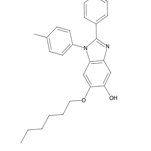 CCCCCCOc1cc2c(cc1O)nc(-c1ccccc1)n2-c1ccc(C)cc1